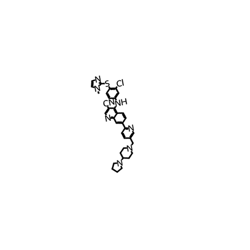 Cn1ccnc1Sc1ccc(Nc2c(C#N)cnc3cc(-c4ccc(CN5CCC(N6CCCC6)CC5)cn4)ccc23)cc1Cl